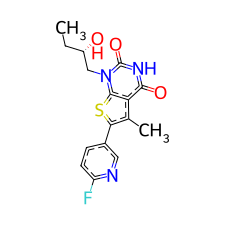 CC[C@H](O)Cn1c(=O)[nH]c(=O)c2c(C)c(-c3ccc(F)nc3)sc21